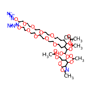 CC(=O)OCC1OC2OC(C)=NC2C(OC(C)=O)C1OC(O)C(OC(C)=O)C(CCOCCOCCOCCOCCON=[N+]=[N-])C(OC(C)=O)C(C)CCCOCCOCCOCCOCCON=[N+]=[N-]